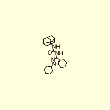 O=C(Nc1nn(C2CCCCC2)c2c1CCCC2)NC12CC3CC(CC(C3)C1)C2